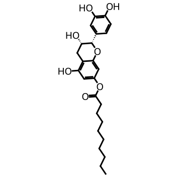 CCCCCCCCCC(=O)Oc1cc(O)c2c(c1)O[C@@H](c1ccc(O)c(O)c1)[C@@H](O)C2